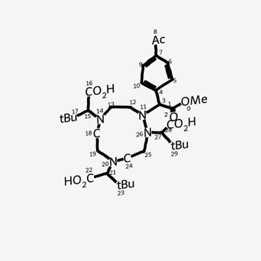 COC(=O)C(c1ccc(C(C)=O)cc1)N1CCN(C(C(=O)O)C(C)(C)C)CCN(C(C(=O)O)C(C)(C)C)CCN1C(C(=O)O)C(C)(C)C